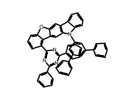 c1ccc(-c2cc(-c3ccccc3)cc(-n3c4ccccc4c4cc5oc6cccc(-c7nc(-c8ccccc8)nc(-c8ccccc8)n7)c6c5cc43)c2)cc1